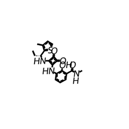 CC[C@@H](Nc1c(Nc2cccc(C(=O)NC)c2O)c(=O)c1=O)c1sccc1C